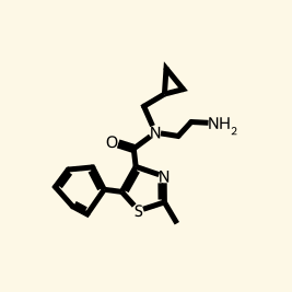 Cc1nc(C(=O)N(CCN)CC2CC2)c(-c2ccccc2)s1